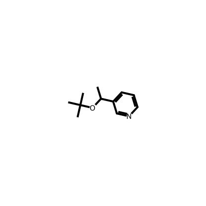 CC(OC(C)(C)C)c1cccnc1